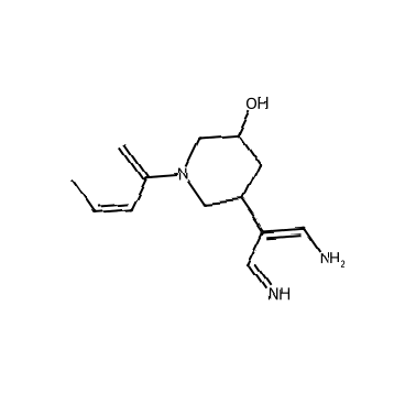 C=C(/C=C\C)N1CC(O)CC(/C(C=N)=C/N)C1